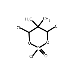 CC1(C)C(Cl)OP(=O)(Cl)OC1Cl